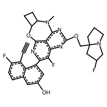 C#Cc1c(F)ccc2cc(O)cc(-c3nc4c5c(nc(OCC67CCCN6CC(F)C7)nc5c3F)N(C)C3CCC3O4)c12